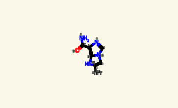 CCCc1cn2cnc(C(N)=O)c2[nH]1